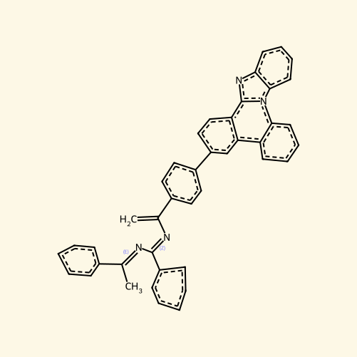 C=C(/N=C(\N=C(/C)c1ccccc1)c1ccccc1)c1ccc(-c2ccc3c(c2)c2ccccc2n2c4ccccc4nc32)cc1